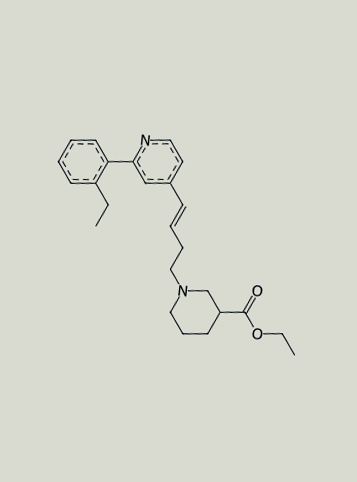 CCOC(=O)C1CCCN(CC/C=C/c2ccnc(-c3ccccc3CC)c2)C1